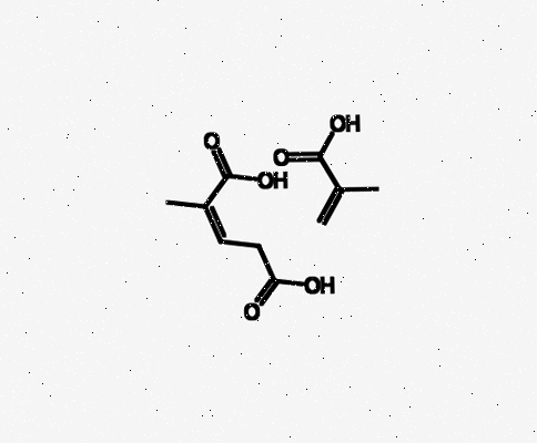 C=C(C)C(=O)O.CC(=CCC(=O)O)C(=O)O